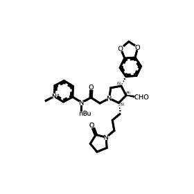 CCCCN(C(=O)CN1C[C@H](c2ccc3c(c2)OCO3)[C@@H](C=O)[C@@H]1CCCN1CCCC1=O)c1ccc[n+](C)c1